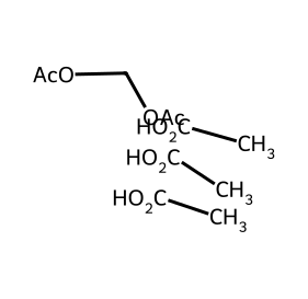 CC(=O)O.CC(=O)O.CC(=O)O.CC(=O)OCOC(C)=O